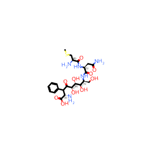 CSC[C@H](N)C(=O)N[C@@H](CC(N)=O)C(=O)N[C@@H](CO)[C@@H](O)[C@@H](O)[C@H](O)C(=O)C(c1ccccc1)[C@H](N)C(=O)O